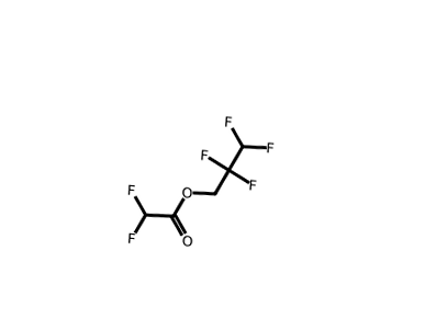 O=C(OCC(F)(F)C(F)F)C(F)F